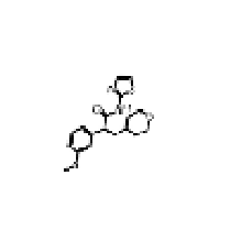 CSc1cccc(C(CC2CCOCC2)C(=O)Nc2nccs2)c1